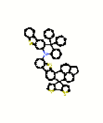 c1ccc(C2(c3ccccc3)c3ccccc3N(c3cccc4c3sc3c5c(ccc34)C3(c4ccsc4-c4sccc43)c3ccc4c6c(ccc-5c36)CC4)c3cc4sc5ccccc5c4cc32)cc1